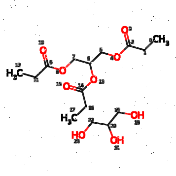 CCC(=O)OCC(COC(=O)CC)OC(=O)CC.OCC(O)CO